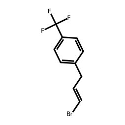 FC(F)(F)c1ccc(CC=CBr)cc1